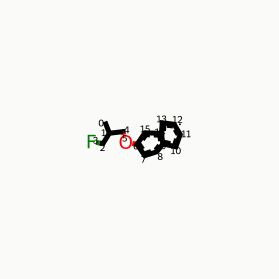 CC(CF)COc1ccc2cc[c]cc2c1